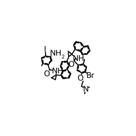 Cc1cc(I)c(N)cc1C(=O)NC1(c2cccc3cc(C4CC4(NC(=O)c4cc(OCCN(C)C)c(Br)cc4C)c4cccc5ccccc45)ccc23)CC1